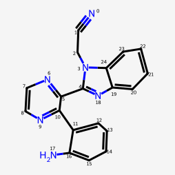 N#CCn1c(-c2nccnc2-c2ccccc2N)nc2ccccc21